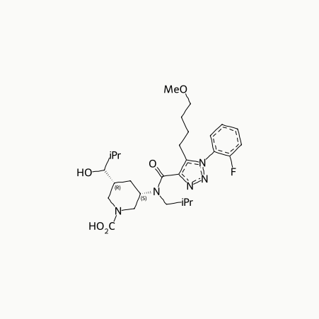 COCCCCc1c(C(=O)N(CC(C)C)[C@H]2C[C@@H](C(O)C(C)C)CN(C(=O)O)C2)nnn1-c1ccccc1F